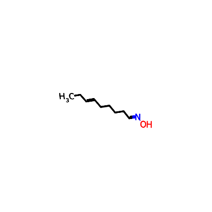 CCC=CCCCCC=NO